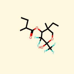 CCC(C)C(=O)OC1C(C)(CC)COC(O)(C(F)(F)F)C1(F)F